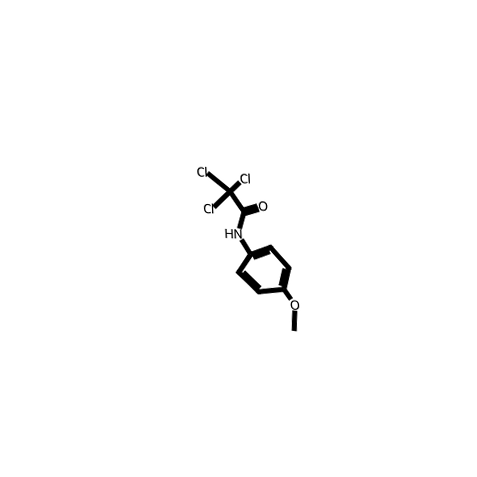 COc1ccc(NC(=O)C(Cl)(Cl)Cl)cc1